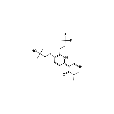 CC(C)C(=O)/C(C=N)=C1\C=CC(OCC(C)(C)O)=C(CCC(F)(F)F)N1